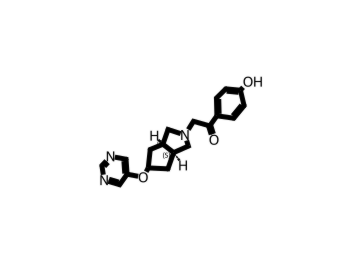 O=C(CN1C[C@H]2CC(Oc3cncnc3)C[C@H]2C1)c1ccc(O)cc1